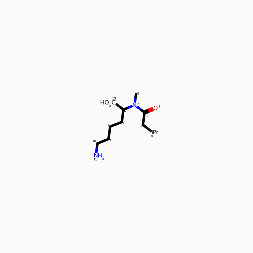 CC(C)CC(=O)N(C)C(CCCCN)C(=O)O